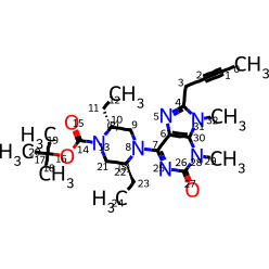 CC#CCc1nc2c(N3C[C@@H](CC)N(C(=O)OC(C)(C)C)C[C@@H]3CC)nc(=O)n(C)c2n1C